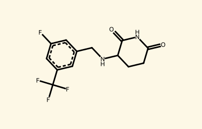 O=C1CCC(NCc2cc(F)cc(C(F)(F)F)c2)C(=O)N1